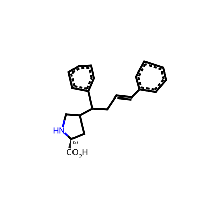 O=C(O)[C@@H]1CC(C(CC=Cc2ccccc2)c2ccccc2)CN1